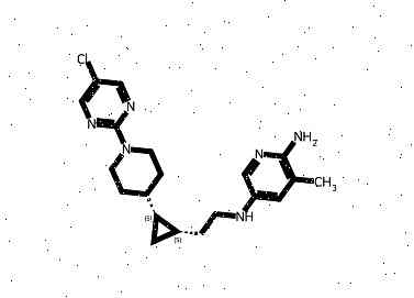 Cc1cc(NCC[C@@H]2C[C@@H]2C2CCN(c3ncc(Cl)cn3)CC2)cnc1N